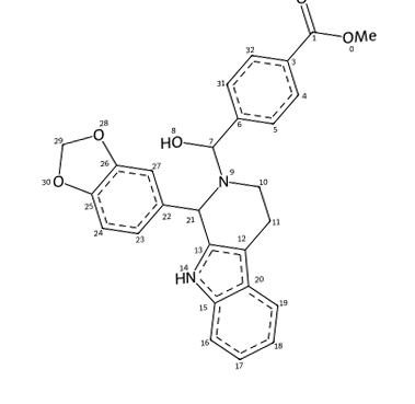 COC(=O)c1ccc(C(O)N2CCc3c([nH]c4ccccc34)C2c2ccc3c(c2)OCO3)cc1